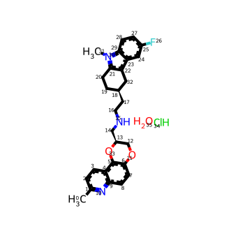 Cc1ccc2c3c(ccc2n1)OC[C@H](CNCC[C@H]1CCc2c(c4cc(F)ccc4n2C)C1)O3.Cl.O